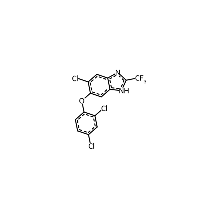 FC(F)(F)c1nc2cc(Cl)c(Oc3ccc(Cl)cc3Cl)cc2[nH]1